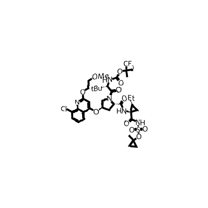 CC[C@@H]1C[C@]1(NC(=O)[C@@H]1C[C@@H](Oc2cc(OCCOC)nc3c(Cl)cccc23)CN1C(=O)[C@@H](NC(=O)OC(C)(C)C(F)(F)F)C(C)(C)C)C(=O)NS(=O)(=O)OC1(C)CC1